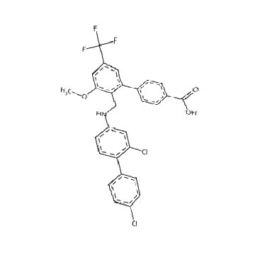 COc1cc(C(F)(F)F)cc(-c2ccc(C(=O)O)cc2)c1CNc1ccc(-c2ccc(Cl)cc2)c(Cl)c1